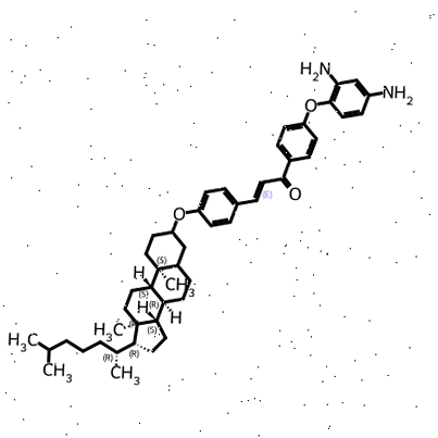 CC(C)CCC[C@@H](C)[C@H]1CC[C@H]2[C@@H]3CCC4CC(Oc5ccc(/C=C/C(=O)c6ccc(Oc7ccc(N)cc7N)cc6)cc5)CC[C@]4(C)[C@H]3CC[C@]12C